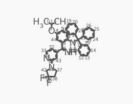 CC(C)Oc1ccc(NC(c2ccccc2)(c2ccccc2)c2ccccc2)c(C(=N)c2ccnc(N3CCC(F)(F)C3)c2)c1